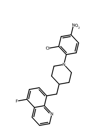 O=[N+]([O-])c1ccc(N2CCC(Cc3ccc(F)c4cccnc34)CC2)c(Cl)c1